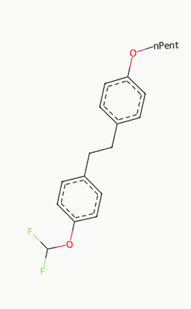 CCCCCOc1ccc(CCc2ccc(OC(F)F)cc2)cc1